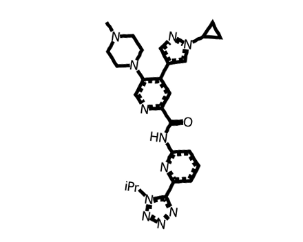 CC(C)n1nnnc1-c1cccc(NC(=O)c2cc(-c3cnn(C4CC4)c3)c(N3CCN(C)CC3)cn2)n1